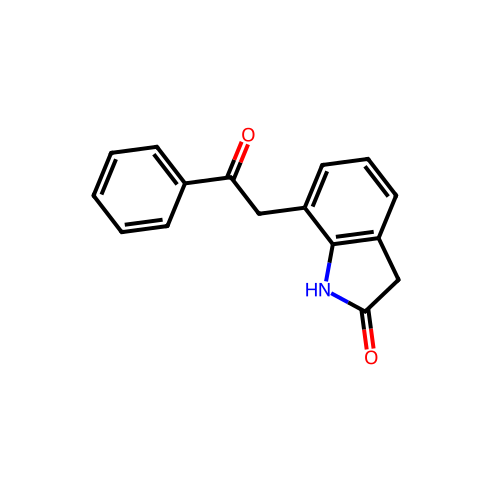 O=C1Cc2cccc(CC(=O)c3ccccc3)c2N1